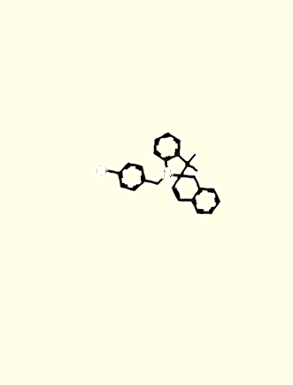 CC1(C)c2ccccc2N(Cc2ccc(Cl)cc2)C12C=Cc1ccccc1C2